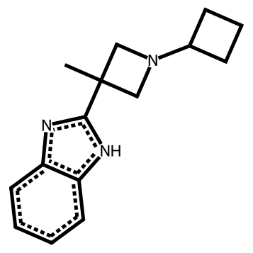 CC1(c2nc3ccccc3[nH]2)CN(C2CCC2)C1